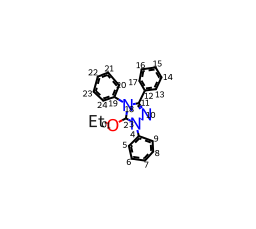 CCOC1N(c2ccccc2)N=C(c2ccccc2)N1c1ccccc1